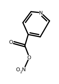 O=C(O[N+](=O)[O-])c1ccncc1